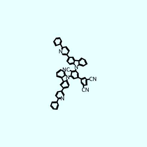 N#Cc1cc(C#N)cc(-c2cc(-n3c4ccccc4c4cc(-c5ccc(-c6ccccc6)nc5)ccc43)c(C#N)c(-n3c4ccccc4c4cc(-c5ccc(-c6ccccc6)nc5)ccc43)c2)c1